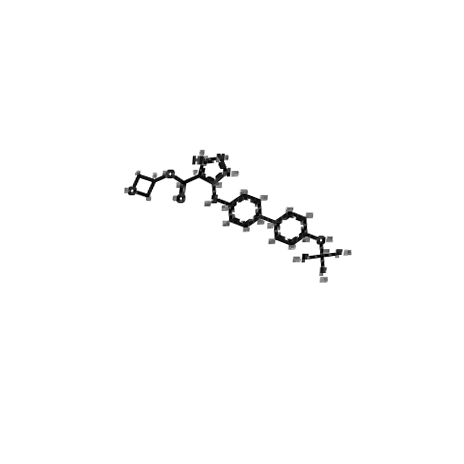 O=C(OC1COC1)c1[nH]nnc1Sc1ccc(-c2ccc(OC(F)(F)F)cc2)cc1